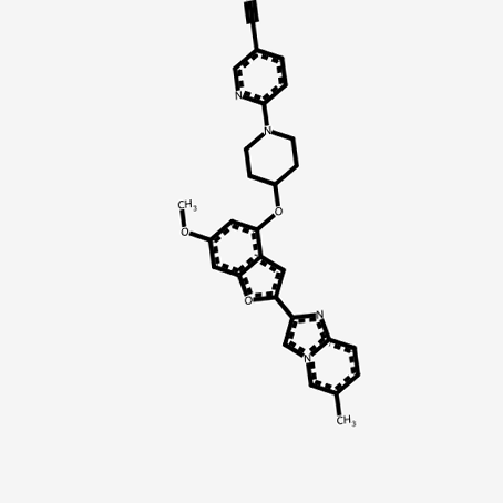 COc1cc(OC2CCN(c3ccc(C#N)cn3)CC2)c2cc(-c3cn4cc(C)ccc4n3)oc2c1